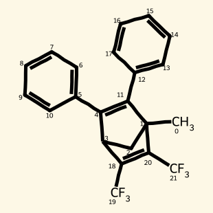 CC12CC(C(c3ccccc3)=C1c1ccccc1)C(C(F)(F)F)=C2C(F)(F)F